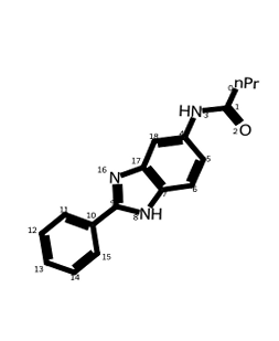 CCCC(=O)Nc1ccc2[nH]c(-c3ccccc3)nc2c1